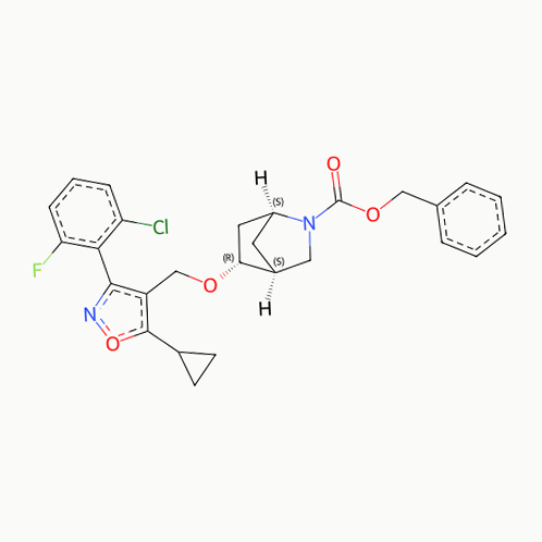 O=C(OCc1ccccc1)N1C[C@@H]2C[C@H]1C[C@H]2OCc1c(-c2c(F)cccc2Cl)noc1C1CC1